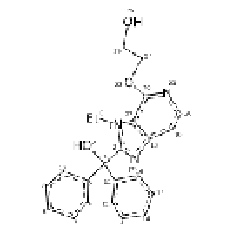 CCn1c(C(O)(c2ccccc2)c2ccccc2)nc2ccnc(OCCO)c21